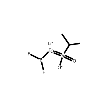 CC(C)S(=O)(=O)[O-].FB(F)F.[Li+]